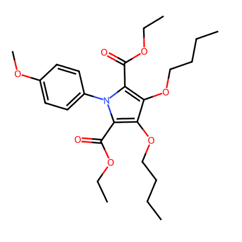 CCCCOc1c(OCCCC)c(C(=O)OCC)n(-c2ccc(OC)cc2)c1C(=O)OCC